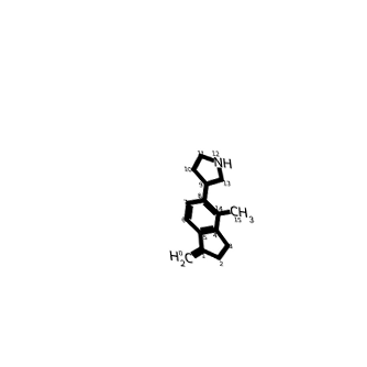 C=C1CCc2c1ccc(C1CCNC1)c2C